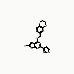 Clc1cc2c(NCc3ccc4c(c3)OCCO4)nc(-c3cc[nH]n3)nc2s1